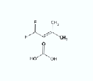 CC(C)=CC(F)F.O=C(O)O